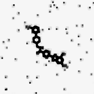 CC(C)c1cc(N)cc2nc(-c3ncc(C(=O)NCC4CCN(c5nccc(C(F)(F)F)n5)CC4)cn3)oc12